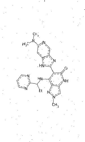 CCC(Nc1c(-c2nc3cnc(N(C)C)cc3[nH]2)c(=O)[nH]c2cn(C)nc12)c1ncccn1